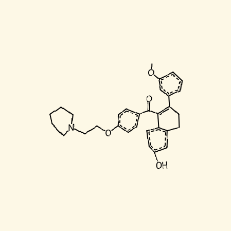 COc1cccc(C2=C(C(=O)c3ccc(OCCN4CCCCC4)cc3)c3ccc(O)cc3CC2)c1